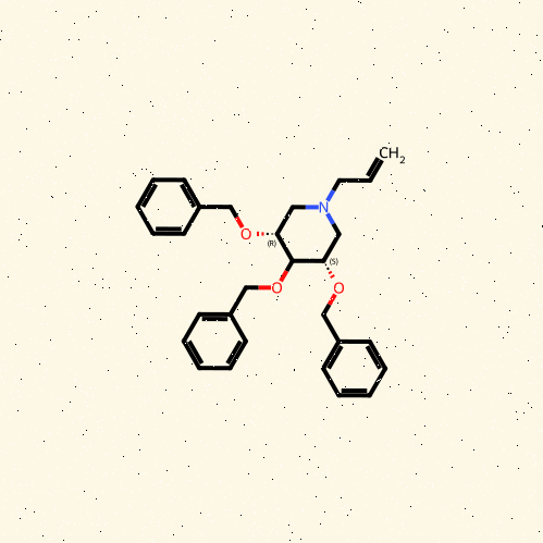 C=CCN1C[C@H](OCc2ccccc2)C(OCc2ccccc2)[C@H](OCc2ccccc2)C1